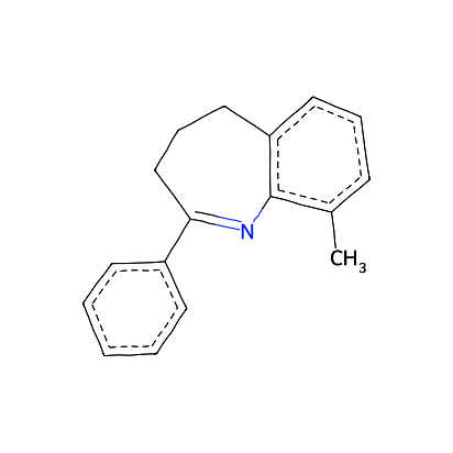 Cc1cccc2c1N=C(c1ccccc1)CCC2